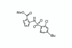 COC(=O)c1sccc1NS(=O)(=O)c1ccc(C(C)(C)C)cc1Cl